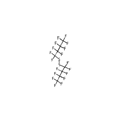 FC(F)(F)C(F)(F)C(F)(F)C(F)(F)SSC(F)(F)C(F)(F)C(F)(F)C(F)(F)F